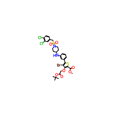 COC(=O)c1sc(-c2cccc(NC3CCN(S(=O)(=O)Cc4ccc(Cl)c(Cl)c4)CC3)c2)c(Br)c1OCC(=O)OC(C)(C)C